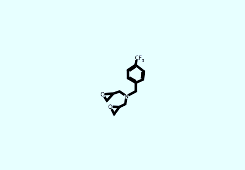 FC(F)(F)c1ccc(CN(CC2CO2)CC2CO2)cc1